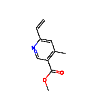 C=Cc1cc(C)c(C(=O)OC)cn1